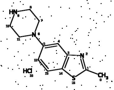 Cc1nc2cc(N3CCNCC3)ccc2s1.Cl